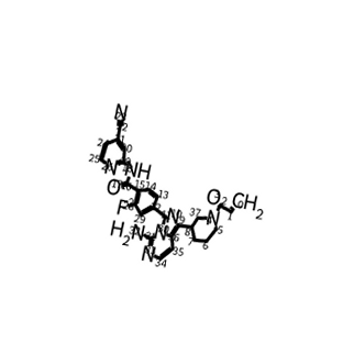 C=CC(=O)N1CCCC(c2nc(-c3ccc(C(=O)Nc4cc(C#N)ccn4)c(F)c3)n3c(N)nccc23)C1